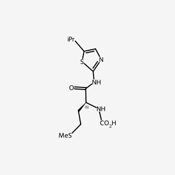 CSCC[C@H](NC(=O)O)C(=O)Nc1ncc(C(C)C)s1